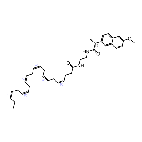 CC/C=C\C/C=C\C/C=C\C/C=C\C/C=C\C/C=C\CCC(=O)NCCNC(=O)[C@@H](C)c1ccc2cc(OC)ccc2c1